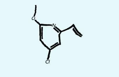 C=Cc1cc(Cl)cc(OC)n1